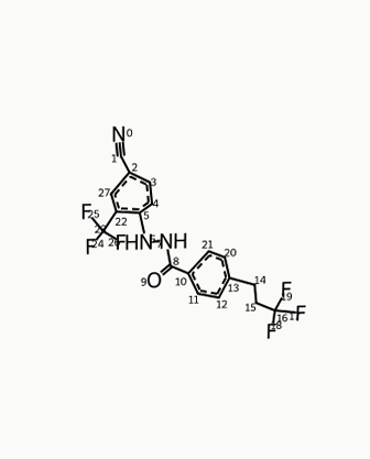 N#Cc1ccc(NNC(=O)c2ccc(CCC(F)(F)F)cc2)c(C(F)(F)F)c1